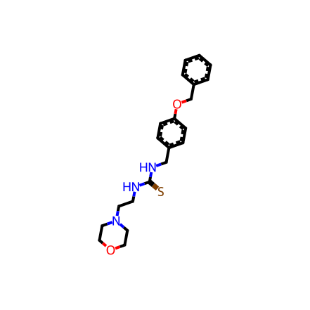 S=C(NCCN1CCOCC1)NCc1ccc(OCc2ccccc2)cc1